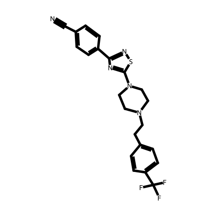 N#Cc1ccc(-c2nsc(N3CCN(CCc4ccc(C(F)(F)F)cc4)CC3)n2)cc1